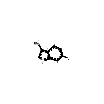 CC(C)(C)c1coc2cc(Cl)ccc12